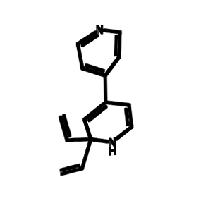 C=CC1(C=C)C=C(c2ccncc2)C=CN1